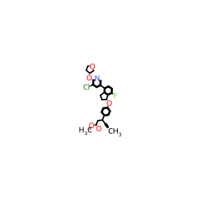 CC#CC(CC(=O)OC)c1ccc(O[C@@H]2CCc3c(-c4cnc(O[C@@H]5CCOC5)c(Cl)c4)ccc(F)c32)cc1